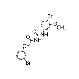 COc1cc(NC(=O)NC(=O)COc2cccc(Br)c2)ccc1Br